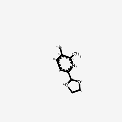 Cc1nc(C2OCCO2)ccc1Br